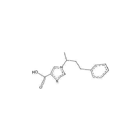 CC(CCc1ccccc1)n1cnc(C(=O)O)c1